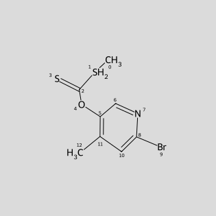 C[SH2]C(=S)Oc1cnc(Br)cc1C